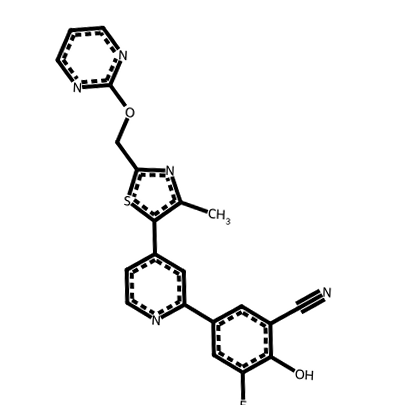 Cc1nc(COc2ncccn2)sc1-c1ccnc(-c2cc(F)c(O)c(C#N)c2)c1